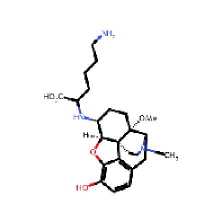 CO[C@@]12CC[C@H](NC(CCCCN)C(=O)O)[C@@H]3Oc4c(O)ccc5c4[C@@]31CCN(C)C2C5